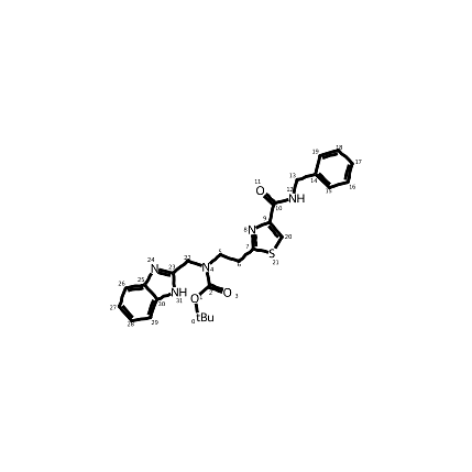 CC(C)(C)OC(=O)N(CCc1nc(C(=O)NCc2ccccc2)cs1)Cc1nc2ccccc2[nH]1